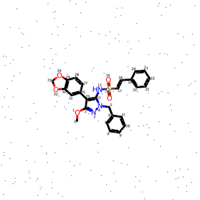 COc1nn(Cc2ccccc2)c(NS(=O)(=O)/C=C/c2ccccc2)c1-c1ccc2c(c1)OCO2